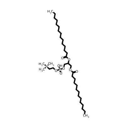 CCCCCCCCCCCCCCC(=O)OC(COC(=O)CCCCCCCCCCCCC)COP(=O)(O)OCC[N+](C)(C)C